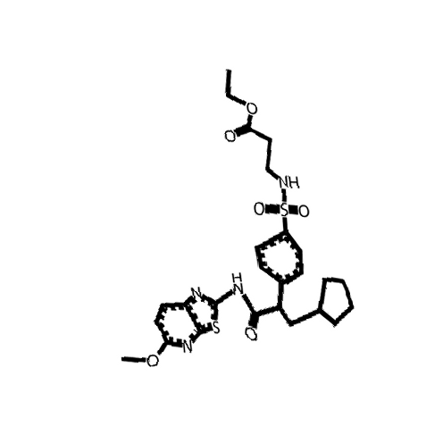 CCOC(=O)CCNS(=O)(=O)c1ccc(C(CC2CCCC2)C(=O)Nc2nc3ccc(OC)nc3s2)cc1